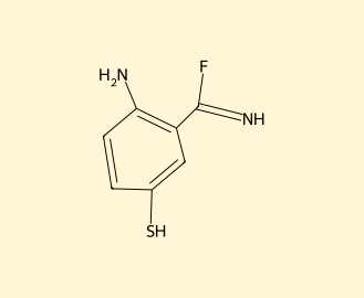 N=C(F)c1cc(S)ccc1N